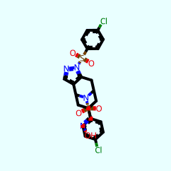 O=S(=O)(c1ccc(Cl)cc1)N1C2Cc3c(cnn3S(=O)(=O)c3ccc(Cl)cc3)C1CC(C=NO)C2